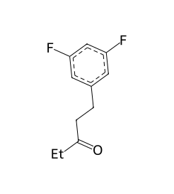 CCC(=O)CCc1cc(F)cc(F)c1